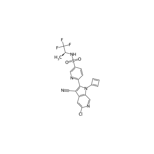 C[C@H](NS(=O)(=O)c1ccc(-c2c(C#N)c3cc(Cl)ncc3n2C2=CC=C2)nc1)C(F)(F)F